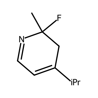 CC(C)C1=CC=NC(C)(F)C1